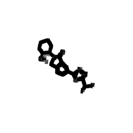 C[C@@H]1CCCC[C@H]1N1Cc2ccc(-c3nnc(C(F)F)o3)cc2C1=O